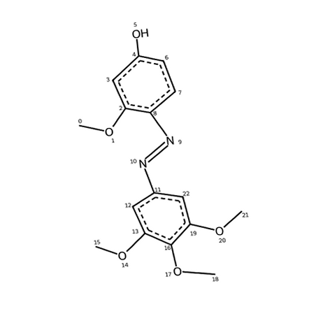 COc1cc(O)ccc1N=Nc1cc(OC)c(OC)c(OC)c1